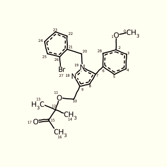 COc1cccc(-c2cc(COC(C)(C)C(C)=O)nn2Cc2ccccc2Br)c1